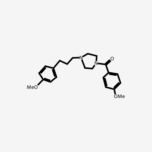 COc1ccc(CCCN2CCN(C(=O)c3ccc(OC)cc3)CC2)cc1